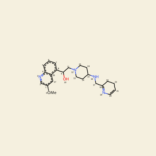 COc1cnc2cccc(C(O)CN3CCC(NCC4=NC=CCC4)CC3)c2c1